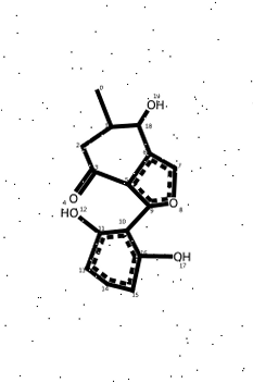 CC1CC(=O)c2c(coc2-c2c(O)cccc2O)C1O